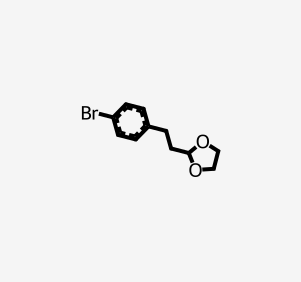 Brc1ccc(CCC2OCCO2)cc1